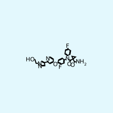 NC(=O)C1(C(=O)N(c2ccc(F)cc2)c2ccc(Oc3ccnc(-c4cnn(CCO)c4)c3)c(F)c2)CC1